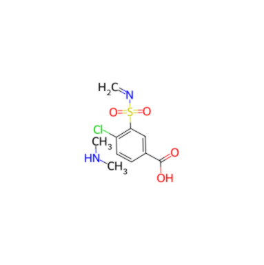 C=NS(=O)(=O)c1cc(C(=O)O)ccc1Cl.CNC